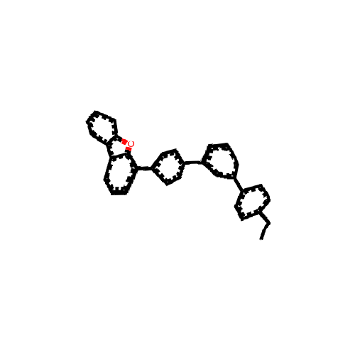 CCc1ccc(-c2cccc(-c3ccc(-c4cccc5c4oc4ccccc45)cc3)c2)cc1